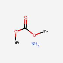 CC(C)OC(=O)OC(C)C.N